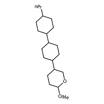 CCCC1CCC(C2CCC(C3CCC(OC)OC3)CC2)CC1